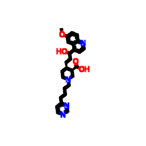 COc1ccc2nccc(C(O)CC[C@@H]3CCN(CCCCc4ccncn4)C[C@@H]3C(=O)O)c2c1